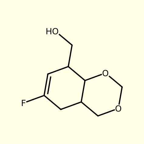 OCC1C=C(F)CC2COCOC12